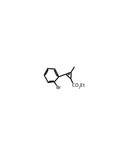 CCOC(=O)C1C(C)=C1c1ccccc1Br